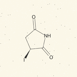 O=C1C[C@H](I)C(=O)N1